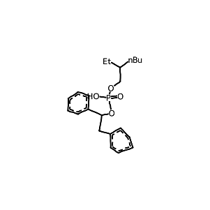 CCCCC(CC)COP(=O)(O)OC(Cc1ccccc1)c1ccccc1